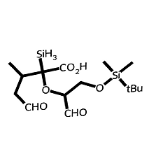 CC(CC=O)C([SiH3])(OC(C=O)CO[Si](C)(C)C(C)(C)C)C(=O)O